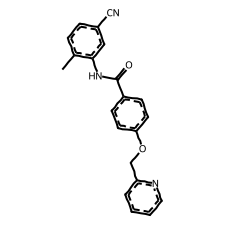 Cc1ccc(C#N)cc1NC(=O)c1ccc(OCc2ccccn2)cc1